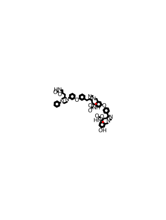 O=c1[nH]cc(CC2CN(c3ccccc3)CCN2c2cccc(Oc3cccc(Cc4ncn(Cc5cccc(Oc6ccc(-c7ncn(Cc8cccc(O)c8)c7-c7c[nH]c(=O)o7)cc6)c5)c4-c4c[nH]c(=O)o4)c3)c2)o1